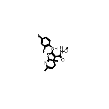 CONC(=O)C1=C(Nc2ccc(I)cc2F)SC2=NC(C)=CCC21C